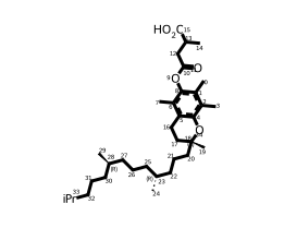 Cc1c(C)c2c(c(C)c1OC(=O)CC(C)C(=O)O)CC[C@@](C)(CCC[C@H](C)CCC[C@H](C)CCCC(C)C)O2